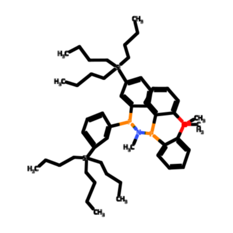 CCCC[Si](CCCC)(CCCC)c1cccc(P(c2cccc([Si](CCCC)(CCCC)CCCC)c2)N(C)P(c2ccccc2OC)c2ccccc2OC)c1